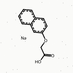 O=C(O)COc1ccc2ccccc2c1.[Na]